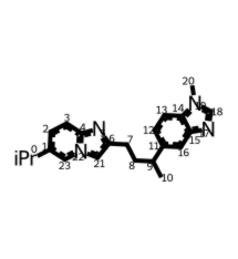 CC(C)c1ccc2nc(CCC(C)c3ccc4c(c3)ncn4C)cn2c1